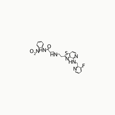 O=C(CCNCCc1nc2c(NCc3ncccc3F)nccc2s1)Nc1ccccc1[N+](=O)[O-]